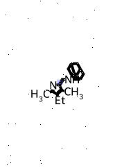 CCC1=C(C)/C(=C\NC23CC4CC(CC(C4)C2)C3)N=C1C